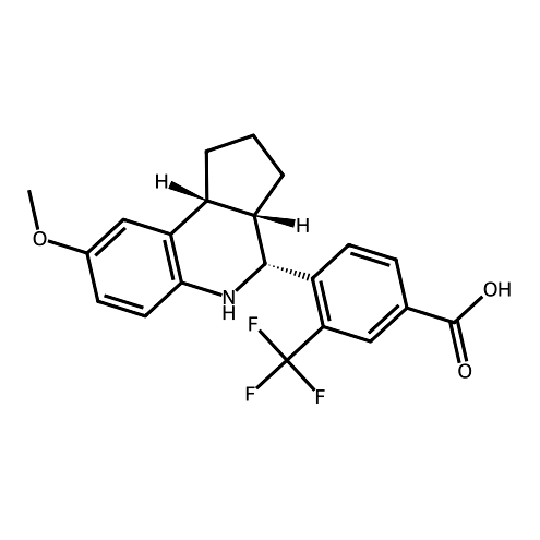 COc1ccc2c(c1)[C@@H]1CCC[C@@H]1[C@H](c1ccc(C(=O)O)cc1C(F)(F)F)N2